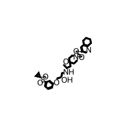 O=S(=O)(c1cccc(OCC(O)CN[C@H]2COC3(CCN(S(=O)(=O)c4cnc5c(c4)CCCC5)CC3)C2)c1)C1CC1